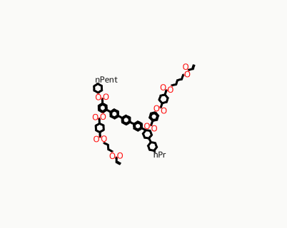 C=CC(=O)OCCCCCOC(=O)C1CCC(C(=O)Oc2ccc(C(=O)OC3(c4ccc(-c5ccc(-c6ccc(-c7cc(C(=O)OC8CCC(CCCCC)CC8)ccc7OC(=O)C7CCC(C(=O)OCCCCOC(=O)C=C)CC7)cc6)cc5)cc4)CCC(C4CCC(CCC)CC4)CC3)cc2)CC1